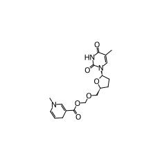 Cc1cn([C@H]2CC[C@@H](COCOC(=O)C3=CN(C)C=CC3)O2)c(=O)[nH]c1=O